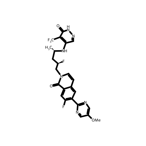 COc1cnc(-c2cc3ccn(C[C@H](F)C[C@H](C)Nc4cn[nH]c(=O)c4C(F)(F)F)c(=O)c3cc2F)nc1